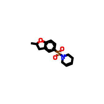 CC1Cc2cc(S(=O)(=O)N3CC=CCC3)ccc2O1